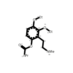 CCCC(=O)Oc1ccc(OCC)c(OCC)c1CCNC